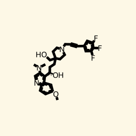 COc1ccc2ncc(N(C)C)c([C@H](O)CCC3(CO)CCN(CC#Cc4cc(F)c(F)c(F)c4)CC3)c2c1